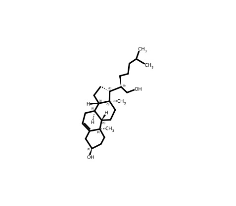 CC(C)CCC[C@@H](CO)[C@H]1CC[C@H]2[C@@H]3CC=C4C[C@H](O)CC[C@]4(C)[C@H]3CC[C@]12C